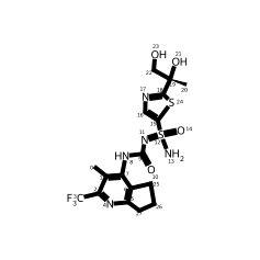 Cc1c(C(F)(F)F)nc2c(c1NC(=O)N=S(N)(=O)c1cnc([C@@](C)(O)CO)s1)CCC2